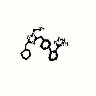 CC(C)Cn1nc(CC2CCCCC2)nc1Cc1ccc(-c2ccccc2-c2nnn[nH]2)cc1